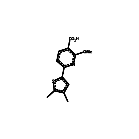 COc1nc(-c2cc(C)c(C)s2)ccc1C(=O)O